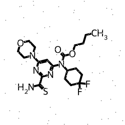 CCCCOC(=O)N(c1cc(N2CCOCC2)nc(C(N)=S)n1)C1CCC(F)(F)CC1